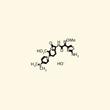 CON=C(C(=O)N[C@@H]1C(=O)N2C(C(=O)O)=C([n+]3ccc(N(C)C)cc3)CCC12)c1csc(N)n1.[OH-]